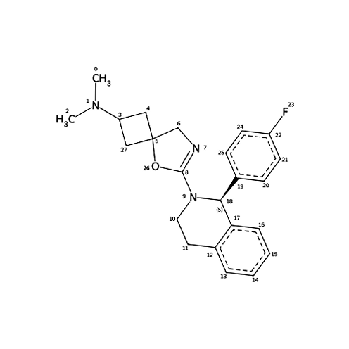 CN(C)C1CC2(CN=C(N3CCc4ccccc4[C@@H]3c3ccc(F)cc3)O2)C1